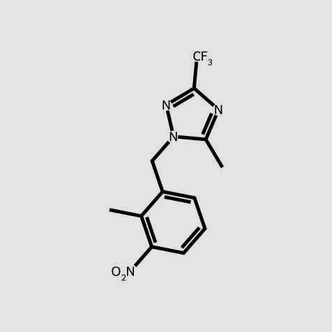 Cc1c(Cn2nc(C(F)(F)F)nc2C)cccc1[N+](=O)[O-]